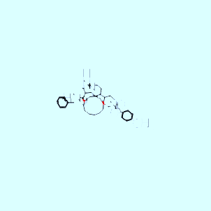 Cc1ccc(S(=O)(=O)N2CCC(C3CCN4NCC(C(=O)NCc5ccccc5)C4C34CCCCCCCCCC4)CC2)cc1